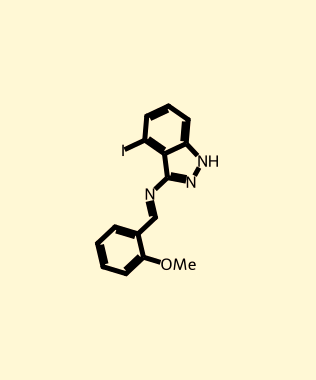 COc1ccccc1C=Nc1n[nH]c2cccc(I)c12